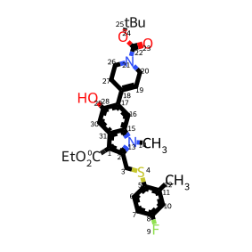 CCOC(=O)c1c(CSc2ccc(F)cc2C)n(C)c2cc(C3=CCN(C(=O)OC(C)(C)C)CC3)c(O)cc12